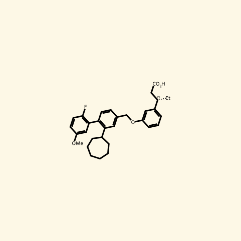 CC[C@@H](CC(=O)O)c1cccc(OCc2ccc(-c3cc(OC)ccc3F)c(C3CCCCCC3)c2)c1